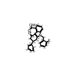 COC(=O)c1cccc2c1c1c(n2Cc2ccccc2F)CC(c2ccccc2)CC1=O